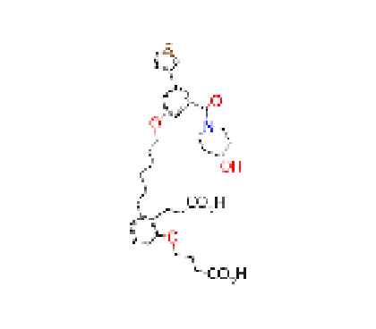 O=C(O)CCCOc1cccc(CCCCCCOc2cc(C(=O)N3CCC(O)CC3)cc(-c3ccsc3)c2)c1CCC(=O)O